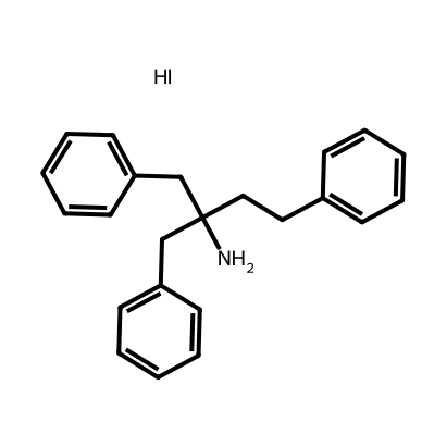 I.NC(CCc1ccccc1)(Cc1ccccc1)Cc1ccccc1